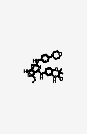 CSc1n[nH]c2nc(Nc3ccc(N4CCOCC4)cc3)nc(Nc3ccc4c(c3)NC(=O)C(C)(C)O4)c12